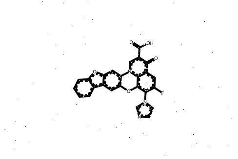 O=C(O)c1cn2c3c(c(-n4ccnc4)c(F)cc3c1=O)Oc1cc3c(cc1-2)oc1ccccc13